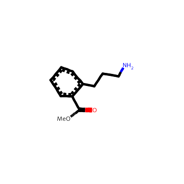 COC(=O)c1ccccc1CCCN